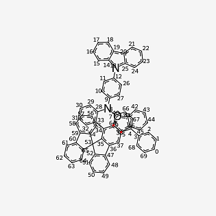 c1ccc(-c2ccc(N(c3ccc(-n4c5ccccc5c5ccccc54)cc3)c3ccccc3-c3c4c(cc5c3oc3ccccc35)-c3ccccc3C43c4ccccc4-c4ccccc43)cc2)cc1